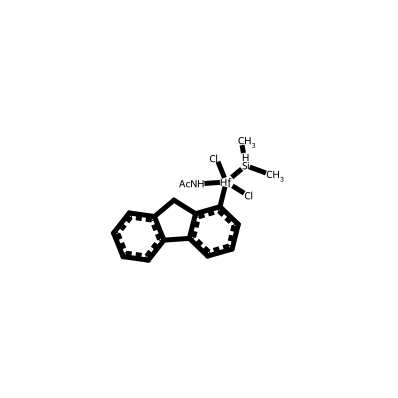 CC(=O)[NH][Hf]([Cl])([Cl])([c]1cccc2c1Cc1ccccc1-2)[SiH](C)C